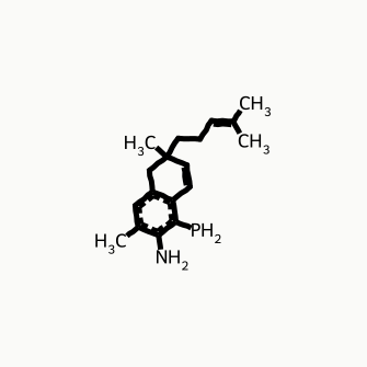 CC(C)=CCCC1(C)C=Cc2c(cc(C)c(N)c2P)C1